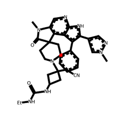 CCNC(=O)NC1CC(CC#N)(N2CCC3(CC2)C(=O)N(C)c2cnc4[nH]c(-c5cnn(C)c5)c(-c5ccccc5)c4c23)C1